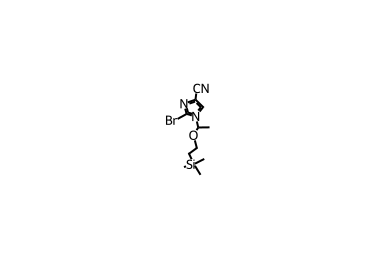 CC(OCC[Si](C)(C)C)n1cc(C#N)nc1Br